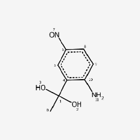 CC(O)(O)c1cc(N=O)ccc1N